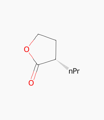 CCC[C@H]1CCOC1=O